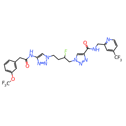 O=C(Cc1cccc(OC(F)(F)F)c1)Nc1cn(CCC(F)Cn2cc(C(=O)NCc3cc(C(F)(F)F)ccn3)nn2)nn1